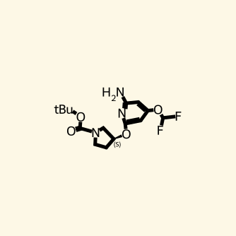 CC(C)(C)OC(=O)N1CC[C@H](Oc2cc(OC(F)F)cc(N)n2)C1